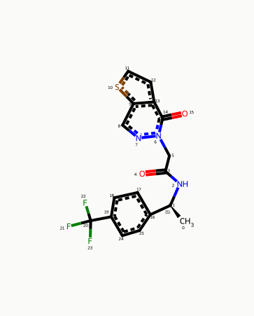 C[C@H](NC(=O)Cn1ncc2sccc2c1=O)c1ccc(C(F)(F)F)cc1